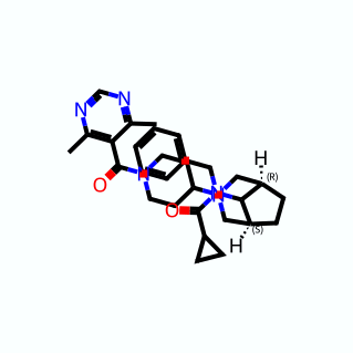 Cc1ncnc(C)c1C(=O)N1CCC(N2C[C@H]3CC[C@@H](C2)C3N(Cc2ccccc2)C(=O)C2CC2)CC1